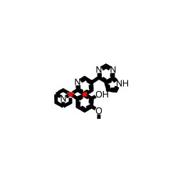 COc1ccc(CN2C3CC2CN(c2ccc(-c4ncnc5[nH]ccc45)cn2)C3)cc1O